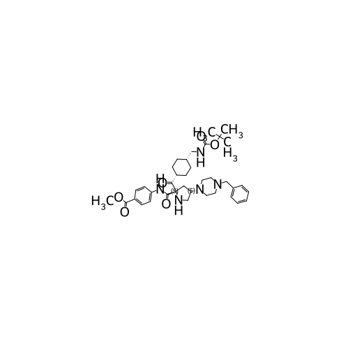 COC(=O)c1ccc(NC(=O)[C@@]2(C(=O)[C@H]3CC[C@@H](CNC(=O)OC(C)(C)C)CC3)C[C@H](N3CCN(Cc4ccccc4)CC3)CN2)cc1